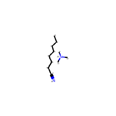 CCCCCCCC#N.CN(C)C